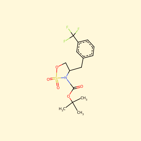 CC(C)(C)OC(=O)N1C(Cc2cccc(C(F)(F)F)c2)COS1(=O)=O